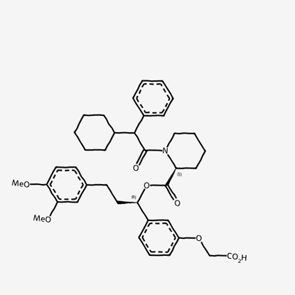 COc1ccc(CC[C@@H](OC(=O)[C@@H]2CCCCN2C(=O)C(c2ccccc2)C2CCCCC2)c2cccc(OCC(=O)O)c2)cc1OC